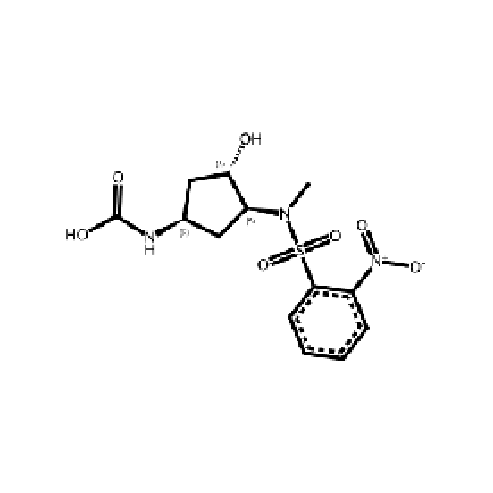 CN([C@H]1C[C@@H](NC(=O)O)C[C@@H]1O)S(=O)(=O)c1ccccc1[N+](=O)[O-]